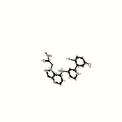 CNC(=O)Cn1ncc2nccc(Nc3ccnc(-c4cc(Cl)ccc4F)c3)c21